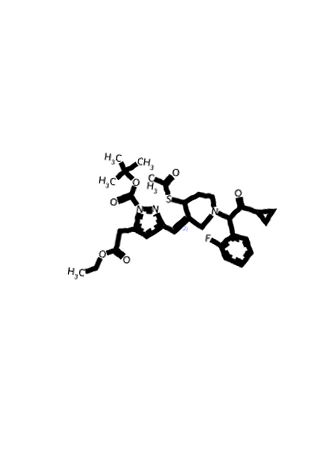 CCOC(=O)Cc1cc(/C=C2/CN(C(C(=O)C3CC3)c3ccccc3F)CCC2SC(C)=O)nn1C(=O)OC(C)(C)C